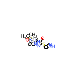 CN1C(=C=O)C(Sc2cccc3[nH]ncc23)=CN=C1N1CCC2(CCC[C@H]2N[S@+]([O-])C(C)(C)C)CC1